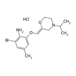 Cc1cc(Br)c(N)c(OC=C2CN(C(C)C)CCO2)c1.Cl